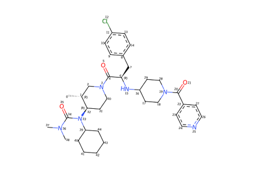 C[C@@H]1CN(C(=O)[C@@H](Cc2ccc(Cl)cc2)NC2CCN(C(=O)c3ccncc3)CC2)CC[C@H]1N(C(=O)N(C)C)C1CCCCC1